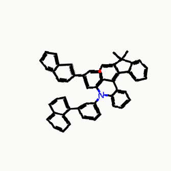 CC1(C)c2ccccc2-c2c(-c3ccccc3N(c3cccc(-c4ccc5ccccc5c4)c3)c3cccc(-c4cccc5ccccc45)c3)cccc21